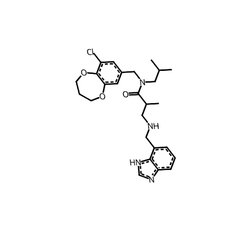 CC(C)CN(Cc1cc(Cl)c2c(c1)OCCCO2)C(=O)C(C)CNCc1cccc2nc[nH]c12